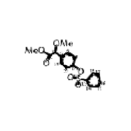 COC(=O)C(OC)c1ccc(OS(=O)(=O)c2ccccc2)cc1